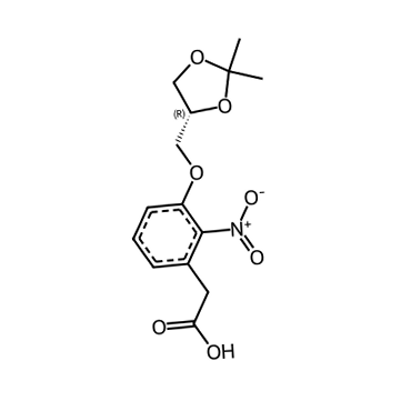 CC1(C)OC[C@@H](COc2cccc(CC(=O)O)c2[N+](=O)[O-])O1